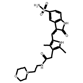 Cc1[nH]c(/C=C2\C(=O)Nc3ccc(S(N)(=O)=O)cc32)c(C)c1CC(=O)NCCN1CCOCC1